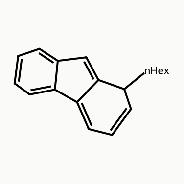 CCCCCCC1C=CC=C2C1=Cc1ccccc12